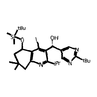 CC(C)c1nc2c(c(I)c1[C@H](O)c1cnc(C(C)(C)C)nc1)C(O[Si](C)(C)C(C)(C)C)CC(C)(C)C2